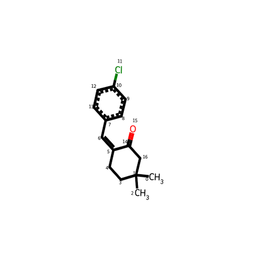 CC1(C)CC/C(=C/c2ccc(Cl)cc2)C(=O)C1